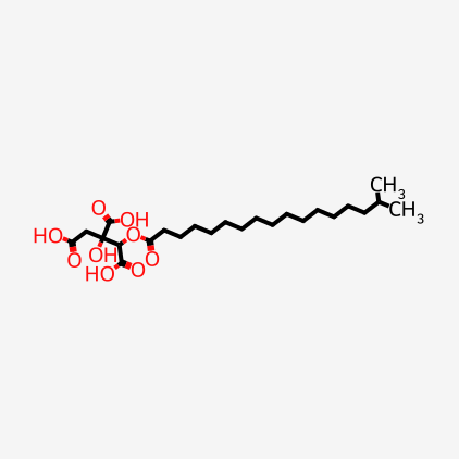 CC(C)CCCCCCCCCCCCCCC(=O)OC(C(=O)O)C(O)(CC(=O)O)C(=O)O